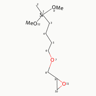 CO[Si](C)(CCCCOCC1CO1)OC